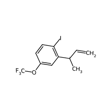 C=C[C](C)c1cc(OC(F)(F)F)ccc1I